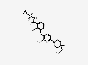 CC1(CN)CCN(c2cnc(Sc3cccc(C(=O)NS(=O)(=O)C4CC4)c3Cl)c(N)n2)CC1